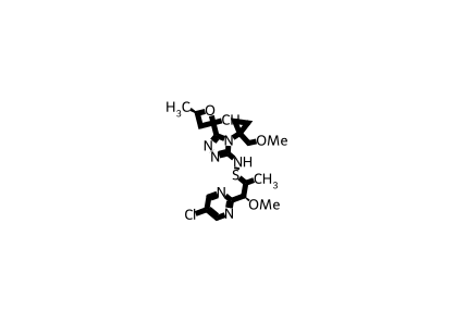 COCC1(n2c(NSC(C)[C@H](OC)c3ncc(Cl)cn3)nnc2C2(C)C[C@@H](C)O2)CC1